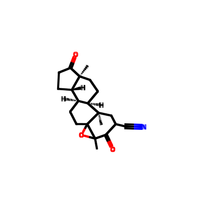 CC12OC13CC[C@@H]1[C@@H](CC[C@]4(C)C(=O)CC[C@@H]14)[C@@]3(C)CC(C#N)C2=O